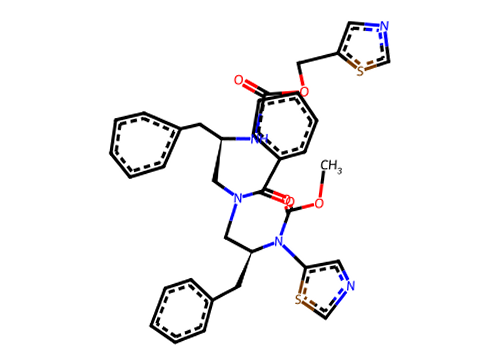 COC(=O)N(c1cncs1)[C@@H](Cc1ccccc1)CN(C[C@@H](Cc1ccccc1)NC(=O)OCc1cncs1)C(=O)c1ccccc1